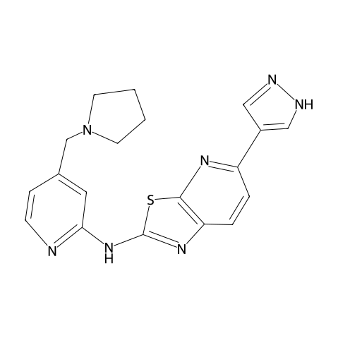 c1cc(CN2CCCC2)cc(Nc2nc3ccc(-c4cn[nH]c4)nc3s2)n1